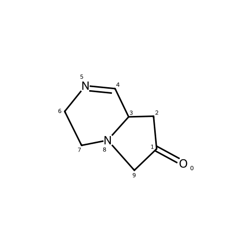 O=C1CC2C=NCCN2C1